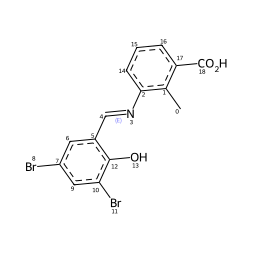 Cc1c(/N=C/c2cc(Br)cc(Br)c2O)cccc1C(=O)O